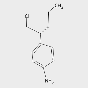 CCC[C@@H](CCl)c1ccc(N)cc1